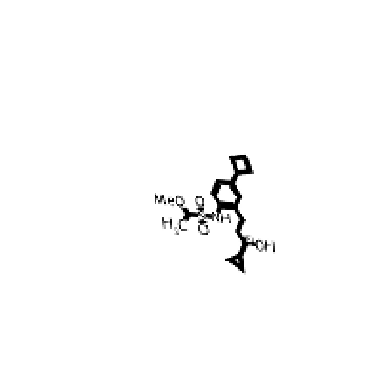 COC(C)S(=O)(=O)Nc1ccc(C2CCC2)cc1CC[C@@H](O)C1CC1